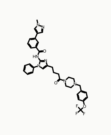 Cn1cc(-c2cccc(C(=O)Nc3nc(CCCC(=O)N4CCN(Cc5ccc(OC(F)(F)F)cc5)CC4)cn3-c3ccccc3)c2)cn1